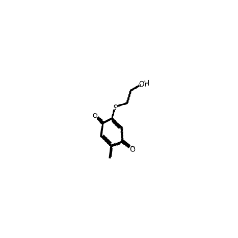 CC1=CC(=O)C(SCCO)=CC1=O